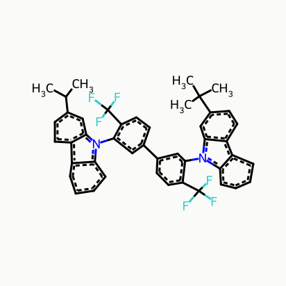 CC(C)c1ccc2c3ccccc3n(-c3cc(-c4ccc(C(F)(F)F)c(-n5c6ccccc6c6ccc(C(C)(C)C)cc65)c4)ccc3C(F)(F)F)c2c1